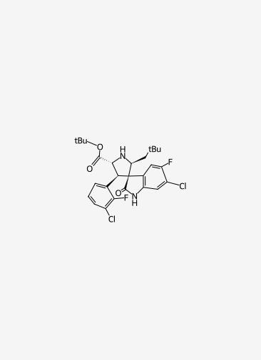 CC(C)(C)C[C@@H]1N[C@@H](C(=O)OC(C)(C)C)[C@H](c2cccc(Cl)c2F)[C@]12C(=O)Nc1cc(Cl)c(F)cc12